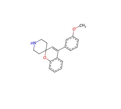 COc1cccc(C2=CC3(CCNCC3)Oc3ccccc32)c1